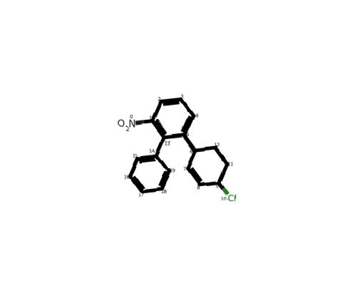 O=[N+]([O-])c1cccc(C2C=CC(Cl)CC2)c1-c1ccccc1